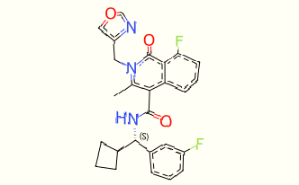 Cc1c(C(=O)N[C@H](c2cccc(F)c2)C2CCC2)c2cccc(F)c2c(=O)n1Cc1cocn1